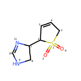 O=S1(=O)CC=CC1C1CNC=N1